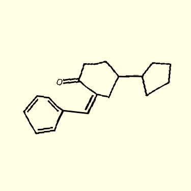 O=C1CCC(C2CCCC2)C/C1=C/c1ccccc1